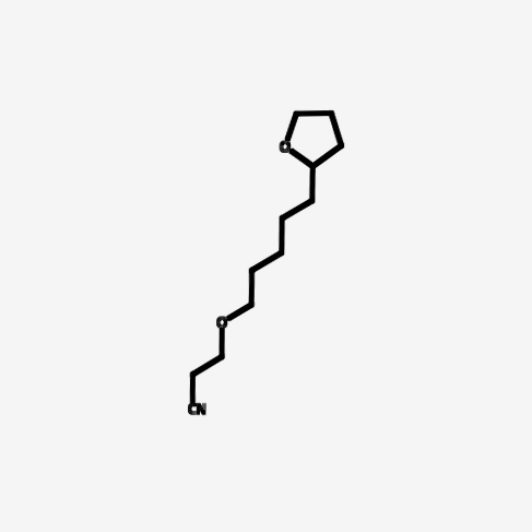 N#CCCOCCCCCC1CCCO1